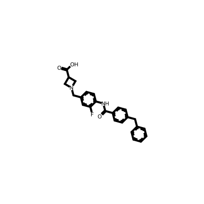 O=C(Nc1ccc(CN2CC(C(=O)O)C2)cc1F)c1ccc(Cc2ccccc2)cc1